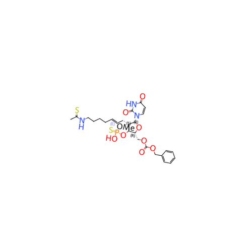 COP(O)(=S)OC1[C@@H](COC(=O)OCc2ccccc2)O[C@@H](n2ccc(=O)[nH]c2=O)[C@H]1C/C=C/CCCCNC(C)=S